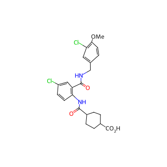 COc1ccc(CNC(=O)c2cc(Cl)ccc2NC(=O)C2CCC(C(=O)O)CC2)cc1Cl